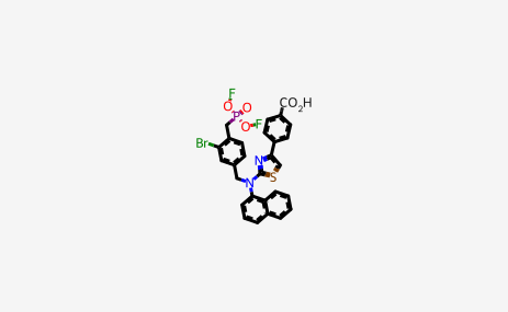 O=C(O)c1ccc(-c2csc(N(Cc3ccc(CP(=O)(OF)OF)c(Br)c3)c3cccc4ccccc34)n2)cc1